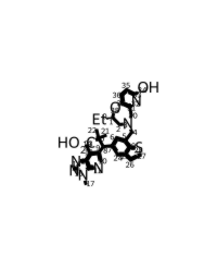 CC[C@@H]1CN(Cc2cc(C(c3cnc4c(nnn4C)c3C)C(C)(C)C(=O)O)cc3ccsc23)Cc2nc(O)ccc2O1